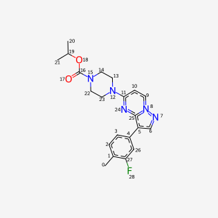 Cc1ccc(-c2cnn3ccc(N4CCN(C(=O)OC(C)C)CC4)nc23)cc1F